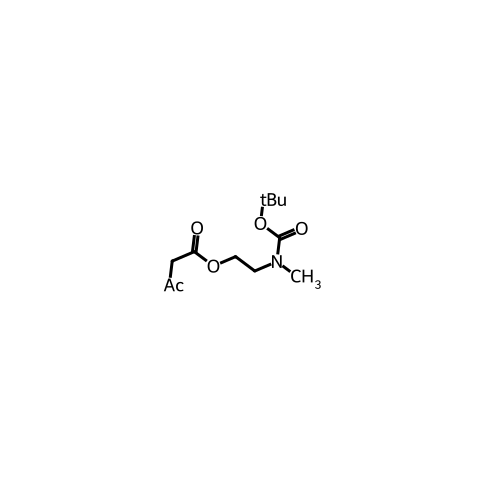 CC(=O)CC(=O)OCCN(C)C(=O)OC(C)(C)C